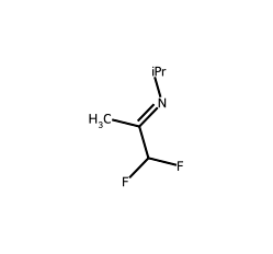 C/C(=N\C(C)C)C(F)F